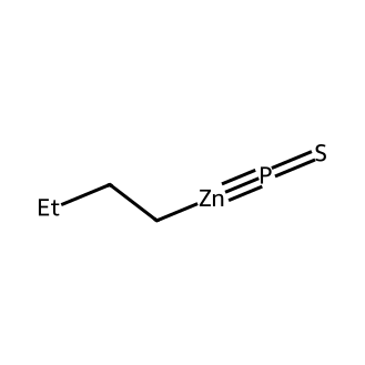 CCC[CH2][Zn]#[P]=S